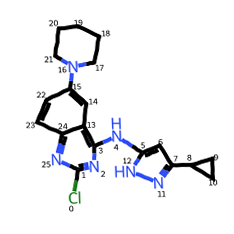 Clc1nc(Nc2cc(C3CC3)n[nH]2)c2cc(N3CCCCC3)ccc2n1